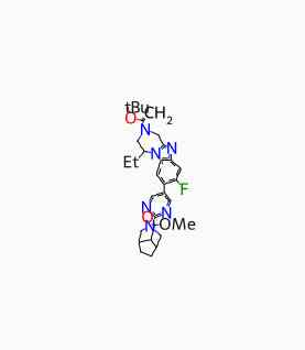 C=C(OC(C)(C)C)N1Cc2nc3cc(F)c(-c4cnc(N5CC6CCC(C5)C6C(=O)OC)nc4)cc3n2C(CC)C1